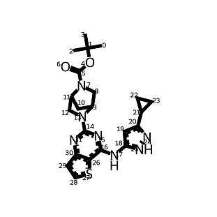 CC(C)(C)OC(=O)N1CC2CC1CN2c1nc(Nc2cc(C3CC3)n[nH]2)c2sccc2n1